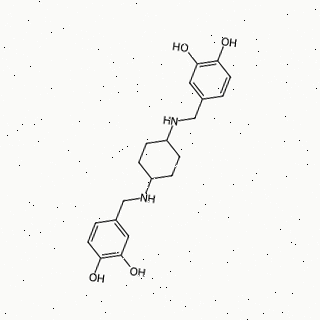 Oc1ccc(CNC2CCC(NCc3ccc(O)c(O)c3)CC2)cc1O